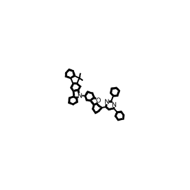 CC1(C)c2ccccc2-c2cc3c4ccccc4n(-c4ccc5oc6c(-c7cc(-c8ccccc8)nc(-c8ccccc8)n7)cccc6c5c4)c3cc21